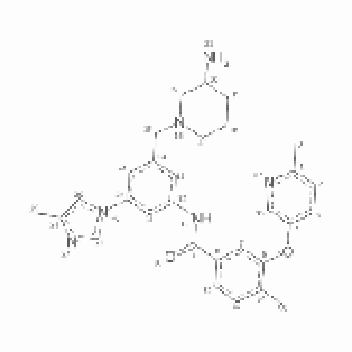 Cc1ccc(Oc2cc(C(=O)Nc3cc(CN4CCCC(N)C4)cc(-n4cnc(C)c4)c3)ccc2C)cn1